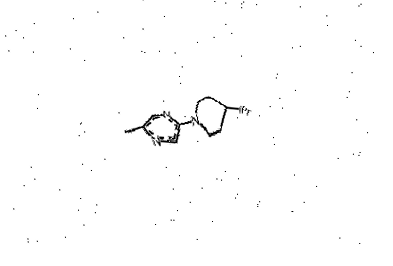 Cc1cnc(N2CCC(C(C)C)CC2)cn1